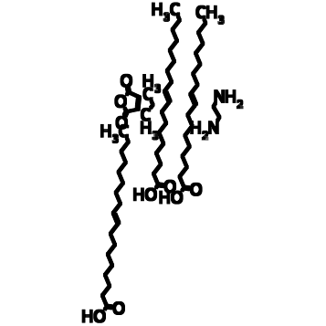 CCC.CCCCCCCCC=CCCCCCCCC(=O)O.CCCCCCCCC=CCCCCCCCC(=O)O.CCCCCCCCC=CCCCCCCCC(=O)O.NCCN.O=C1C=CC(=O)O1